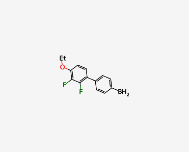 Bc1ccc(-c2ccc(OCC)c(F)c2F)cc1